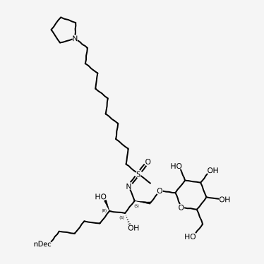 CCCCCCCCCCCCCC[C@@H](O)[C@@H](O)[C@H](COC1OC(CO)C(O)C(O)C1O)N=S(C)(=O)CCCCCCCCCCN1CCCC1